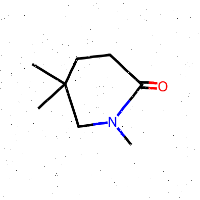 CN1CC(C)(C)CCC1=O